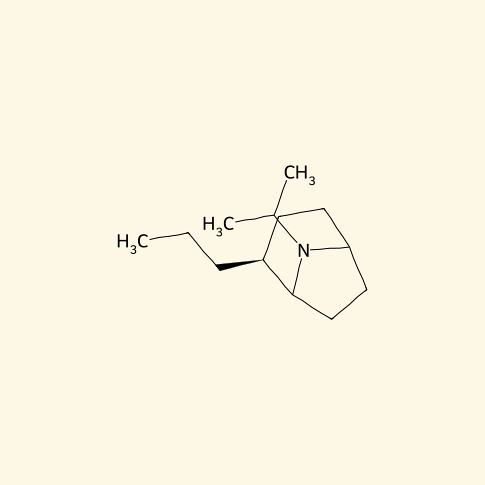 CCC[C@H]1CCC2CCC1N2C(C)C